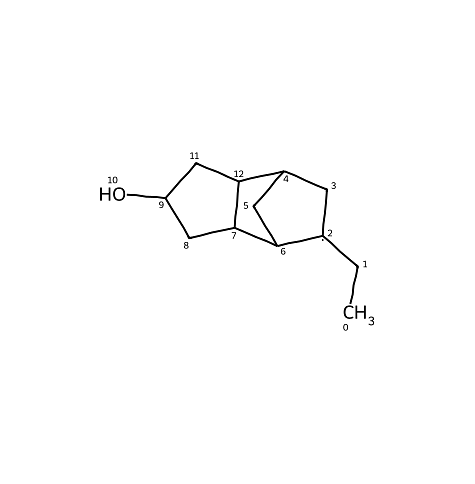 CC[C]1CC2CC1C1CC(O)CC21